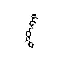 Cn1ccnc1-c1cnc(NCC2CCC3(CC2)CN(c2ccccn2)C(=O)O3)nc1